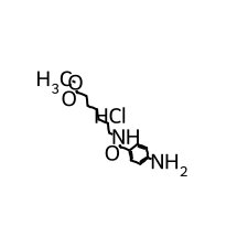 COC(=O)CCCCCCNC(=O)c1ccc(N)cc1.Cl